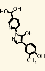 Cc1cc(-c2cnn(-c3ccc(C(O)O)cn3)c2O)ccc1O